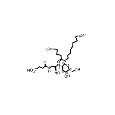 CCCCCCCCCCCCCCCCCCN(C(=O)CCCCCCCCCCCCC)[C@@H]1O[C@H](CO)[C@H](O)[C@H](O)[C@@H]1NC(=O)CNC(=O)CCC(=O)O